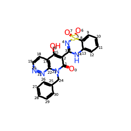 O=c1c(C2=NS(=O)(=O)c3ccccc3N2)c(O)c2ccnnc2n1Cc1ccccc1